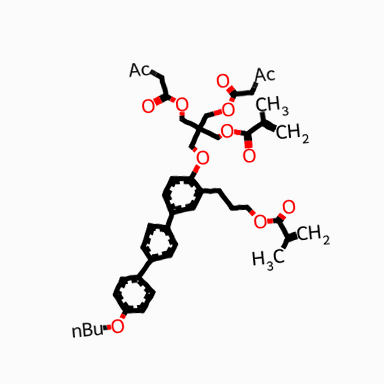 C=C(C)C(=O)OCCCc1cc(-c2ccc(-c3ccc(OCCCC)cc3)cc2)ccc1OCC(COC(=O)CC(C)=O)(COC(=O)CC(C)=O)COC(=O)C(=C)C